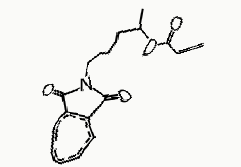 C=CC(=O)OC(C)CCCN1C(=O)c2ccccc2C1=O